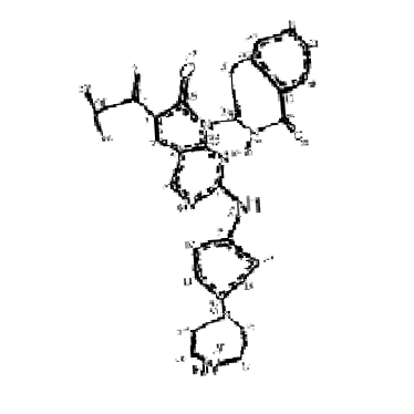 C=C(c1cc2cnc(Nc3ccc(N4CCNCC4)cc3)nc2n(C2Cc3ccccc3C(=O)N2C)c1=O)C(C)C